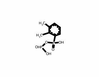 Cc1cccc(P(=O)(O)O[PH](=O)O)c1C